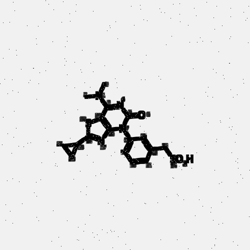 CN(C)c1nc(=O)n(-c2cccc(CS(=O)(=O)O)c2)c2nc(C3CC3)sc12